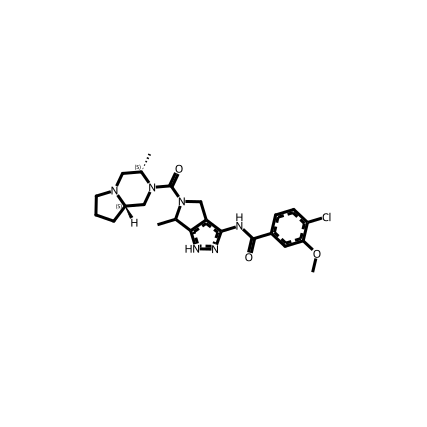 COc1cc(C(=O)Nc2n[nH]c3c2CN(C(=O)N2C[C@@H]4CCCN4C[C@@H]2C)C3C)ccc1Cl